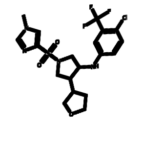 Cn1cnc(S(=O)(=O)N2CC(Nc3ccc(Cl)c(C(F)(F)F)c3)C(C3CCOC3)C2)c1